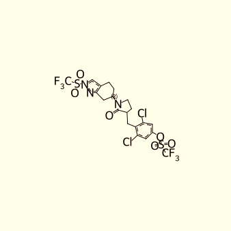 O=C1C(Cc2c(Cl)cc(OS(=O)(=O)C(F)(F)F)cc2Cl)CCN1[C@@H]1CCc2cn(S(=O)(=O)C(F)(F)F)nc2C1